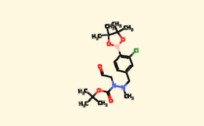 CN(Cc1ccc(B2OC(C)(C)C(C)(C)O2)c(Cl)c1)N(CC=O)C(=O)OC(C)(C)C